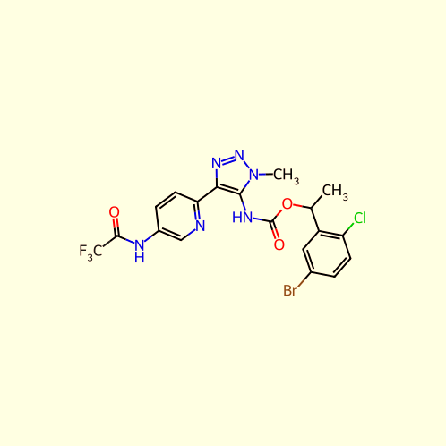 CC(OC(=O)Nc1c(-c2ccc(NC(=O)C(F)(F)F)cn2)nnn1C)c1cc(Br)ccc1Cl